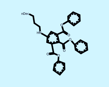 CCCCCCCCCCCCCNc1cc(C(=O)Oc2ccccc2)c(C(=O)Oc2ccccc2)c(C(=O)Oc2ccccc2)c1